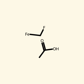 CC(=O)O.F[CH2][Fe]